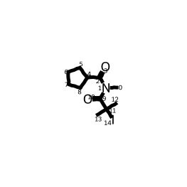 CN(C(=O)C1CCCC1)C(=O)C(C)(C)I